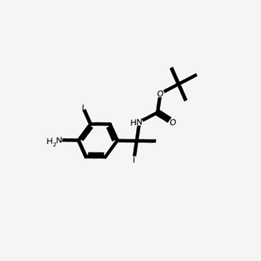 CC(C)(C)OC(=O)NC(C)(I)c1ccc(N)c(I)c1